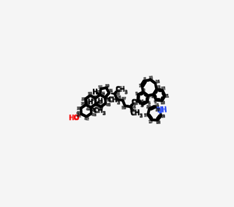 C1#Cc2ccccc2-c2ccccc2CC1.C1=CC=CNC=C1.CC(C)CCCC(C)[C@H]1CC[C@H]2[C@@H]3CC=C4C[C@@H](O)CC[C@]4(C)[C@H]3CC[C@]12C